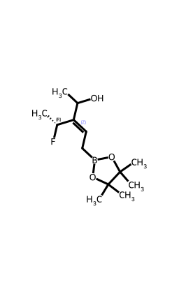 CC(O)/C(=C/CB1OC(C)(C)C(C)(C)O1)[C@@H](C)F